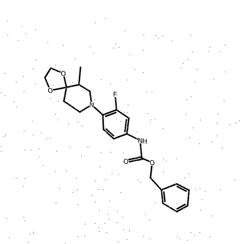 CC1CN(c2ccc(NC(=O)OCc3ccccc3)cc2F)CCC12OCCO2